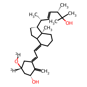 [2H]O[C@]1([2H])CC(=CC=C2CCC[C@@]3(C)C2CC[C@@H]3[C@H](C)/C=C/[C@H](C)C(C)(C)O)C(=C)[C@H](O)C1